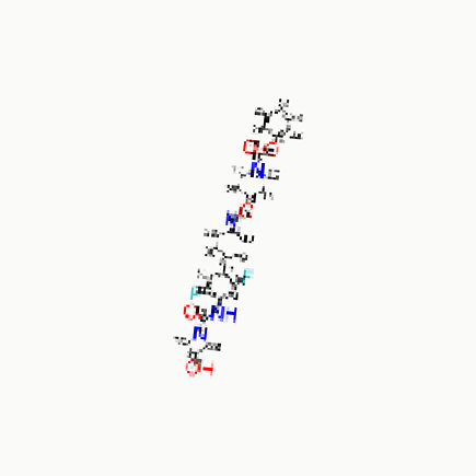 O=C(Nc1cc(F)c(C2CCC(=NOC3CCN(C(=O)Oc4ccccc4)CC3)CC2)cc1F)N1CC(O)C1